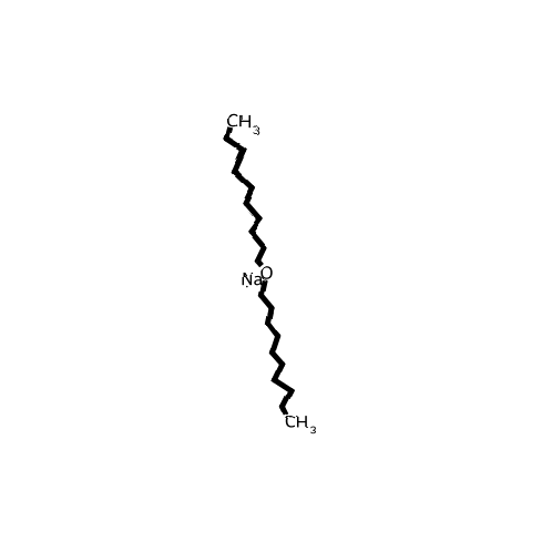 CCCCCCCCCCOCCCCCCCCCC.[Na]